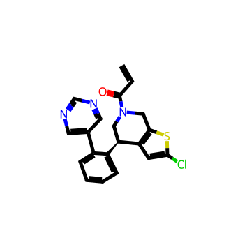 C=CC(=O)N1Cc2sc(Cl)cc2[C@@H](c2ccccc2-c2cncnc2)C1